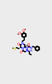 CCCN1CC(=O)N2[C@@H](CCSC)C(=O)N(CCc3ccc(OC)c(OC)c3)C[C@@H]2N1C(=O)NCc1ccccc1